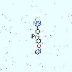 CC(C)C(C)(c1ccc(OCc2ccccn2)cc1)c1ccc(-c2cnc(Cl)nc2)cc1